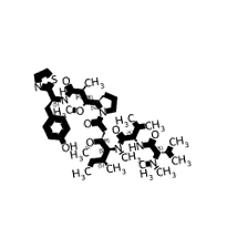 CC[C@H](C)[C@@H]([C@@H](CC(=O)N1CCC[C@H]1[C@H](OC)[C@@H](C)C(=O)N[C@@H](Cc1ccc(O)cc1)c1nccs1)OC)N(C)C(=O)[C@@H](NC(=O)[C@H](C(C)C)N(C)C)C(C)C